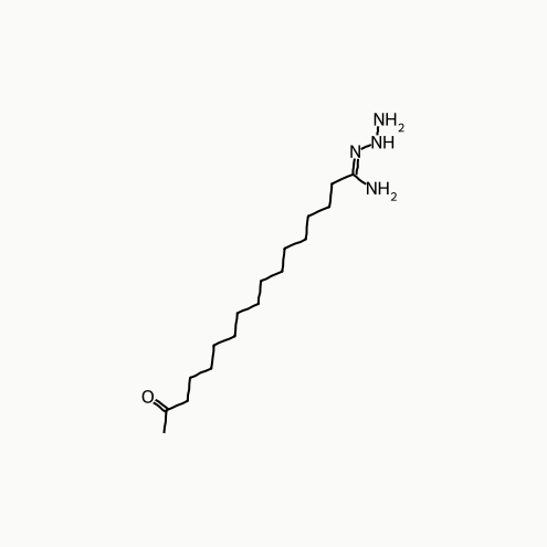 CC(=O)CCCCCCCCCCCCCC/C(N)=N/NN